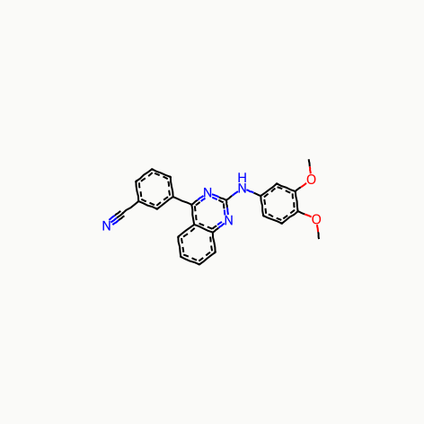 COc1ccc(Nc2nc(-c3cccc(C#N)c3)c3ccccc3n2)cc1OC